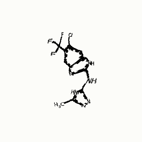 Cc1nnc(Nc2nc3cc(C(F)(F)F)c(Cl)cc3[nH]2)[nH]1